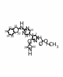 CCOC(=O)Cn1cc(-c2cnc(NC3Cc4ccccc4C3)nc2)c(OC2CNC2)n1